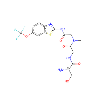 CN(CC(=O)Nc1nc2ccc(OC(F)(F)F)cc2s1)C(=O)CNC(=O)[C@@H](N)CO